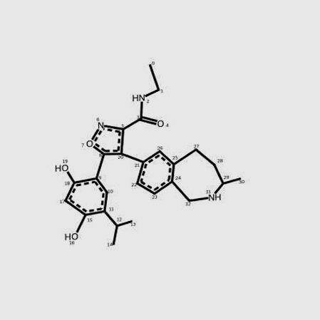 CCNC(=O)c1noc(-c2cc(C(C)C)c(O)cc2O)c1-c1ccc2c(c1)CCC(C)NC2